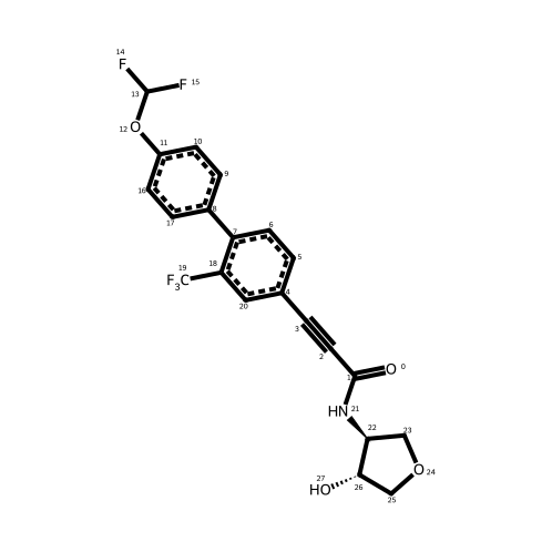 O=C(C#Cc1ccc(-c2ccc(OC(F)F)cc2)c(C(F)(F)F)c1)N[C@H]1COC[C@@H]1O